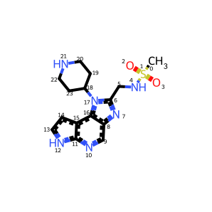 CS(=O)(=O)NCc1nc2cnc3[nH]ccc3c2n1C1CCNCC1